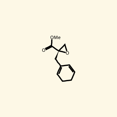 COC(=O)[C@]1(CC2=CCCC=C2)CO1